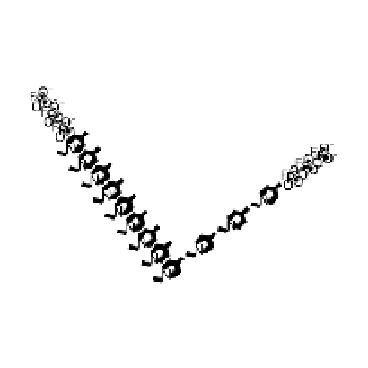 CC[n+]1ccc(C)cc1.CC[n+]1ccc(C)cc1.CC[n+]1ccc(C)cc1.CC[n+]1ccc(C)cc1.CC[n+]1ccc(C)cc1.CC[n+]1ccc(C)cc1.CC[n+]1ccc(C)cc1.CC[n+]1ccc(C)cc1.CC[n+]1ccc(C)cc1.CC[n+]1ccc(C)cc1.CC[n+]1ccc(C)cc1.CC[n+]1ccc(C)cc1.O=P([O-])([O-])F.O=P([O-])([O-])F.O=P([O-])([O-])F.O=P([O-])([O-])F.O=P([O-])([O-])F.O=P([O-])([O-])F